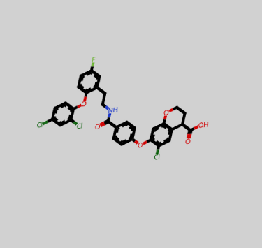 O=C(NCCc1cc(F)ccc1Oc1ccc(Cl)cc1Cl)c1ccc(Oc2cc3c(cc2Cl)C(C(=O)O)CCO3)cc1